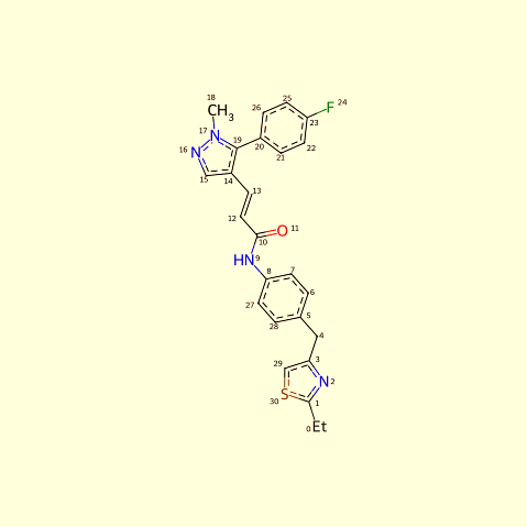 CCc1nc(Cc2ccc(NC(=O)/C=C/c3cnn(C)c3-c3ccc(F)cc3)cc2)cs1